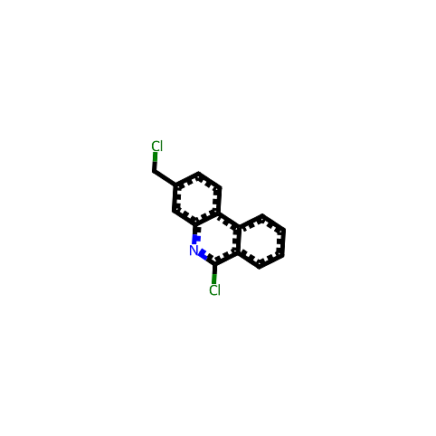 ClCc1ccc2c(c1)nc(Cl)c1ccccc12